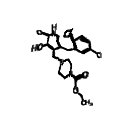 CCOC(=O)N1CCN(Cc2c(Cc3cc(Cl)ccc3Cl)c[nH]c(=O)c2O)CC1